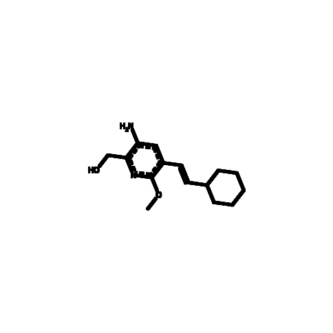 COc1nc(CO)c(N)cc1/C=C/C1CCCCC1